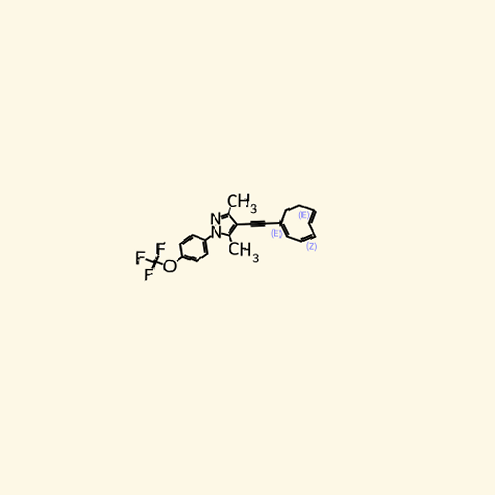 Cc1nn(-c2ccc(OC(F)(F)F)cc2)c(C)c1C#C/C1=C/C=C\C=C\CC1